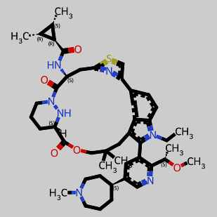 CCn1c(-c2cc([C@H]3CCCN(C)CC3)cnc2[C@H](C)OC)c2c3cc(ccc31)-c1csc(n1)C[C@H](NC(=O)[C@H]1[C@H](C)[C@@H]1C)C(=O)N1CCC[C@H](N1)C(=O)OCC(C)(C)C2